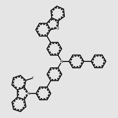 Fc1cccc2c3ccccc3n(-c3cccc(-c4ccc(N(c5ccc(-c6ccccc6)cc5)c5ccc(-c6cccc7c6oc6ccccc67)cc5)cc4)c3)c12